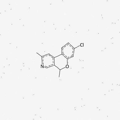 Cc1cc2c(cn1)C(C)Oc1cc(Cl)ccc1-2